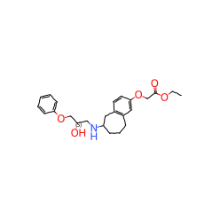 CCOC(=O)COc1ccc2c(c1)CCCC(NC[C@H](O)COc1ccccc1)C2